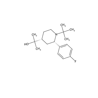 CC(C)(O)[C@@H]1CCN(C(C)(C)C)[C@H](c2ccc(F)cc2)C1